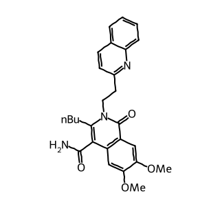 CCCCc1c(C(N)=O)c2cc(OC)c(OC)cc2c(=O)n1CCc1ccc2ccccc2n1